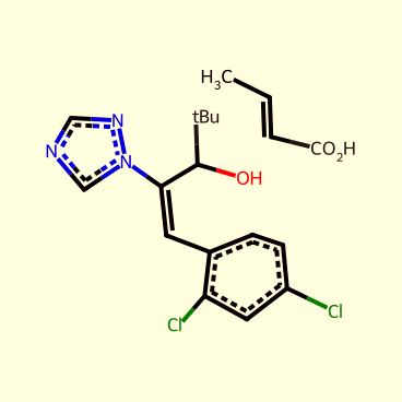 C/C=C/C(=O)O.CC(C)(C)C(O)/C(=C\c1ccc(Cl)cc1Cl)n1cncn1